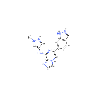 CCn1cc(Nc2nc(-c3ccc4cn[nH]c4c3)cn3ccnc23)cn1